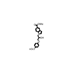 CCCCCCCCc1ccc(OCC(O)Cn2ccc3cc(C(=O)OC)ccc32)cc1